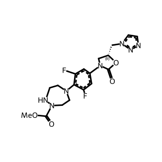 COC(=O)N1CCN(c2c(F)cc(N3C[C@H](Cn4ccnn4)OC3=O)cc2F)CCN1